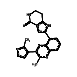 Cc1nc2cccc(-c3cc4c([nH]3)CCNC4=O)c2nc1-c1ccoc1C